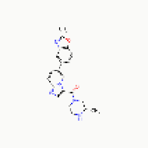 Cc1nc2cc(-c3ccc4ncc(C(=O)N5CCNC(C)C5)n4c3)ccc2o1